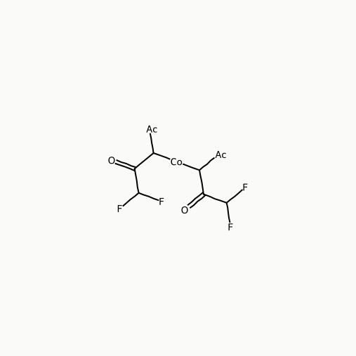 CC(=O)[CH]([Co][CH](C(C)=O)C(=O)C(F)F)C(=O)C(F)F